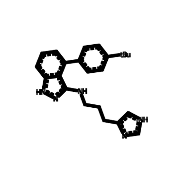 CC(C)(C)c1ccc(-c2cccc3[nH]nc(NCCCc4c[nH]cn4)c23)cc1